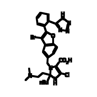 CCCCC1(CCN(C)C)NC(Cl)=C(C(=O)O)N1Cc1ccc2oc(-c3ccccc3-c3nnn[nH]3)c(Br)c2c1